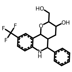 OCC1OC2c3cc(C(F)(F)F)ccc3NC(c3ccccc3)C2CC1O